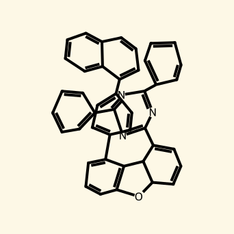 C1=CC2Oc3cccc(-c4ccc(-c5cccc6ccccc56)cc4)c3C2C(c2nc(-c3ccccc3)nc(-c3ccccc3)n2)=C1